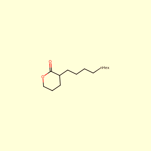 CCCCCCCCCCC1CCCOC1=O